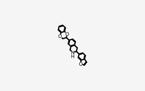 c1ccc2c(c1)OCC(c1ccc3c(c1)CNC(c1ccc4ccoc4c1)C3)O2